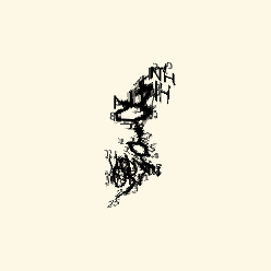 CCCNCc1nc2ccc(C#Cc3ccc(-c4cnc(CN(CCC)C(=O)OC(C)(C)C)[nH]4)cc3)cc2[nH]1